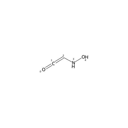 O=C=CNO